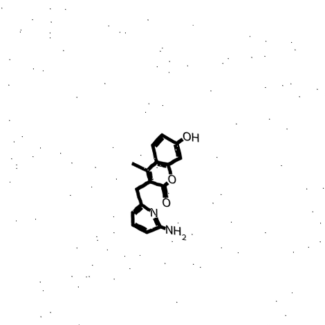 Cc1c(Cc2cccc(N)n2)c(=O)oc2cc(O)ccc12